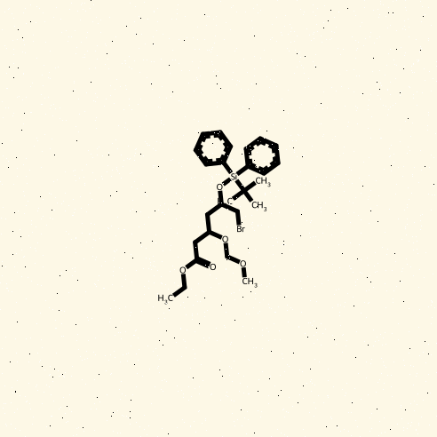 CCOC(=O)CC(CC(CBr)O[Si](c1ccccc1)(c1ccccc1)C(C)(C)C)OCOC